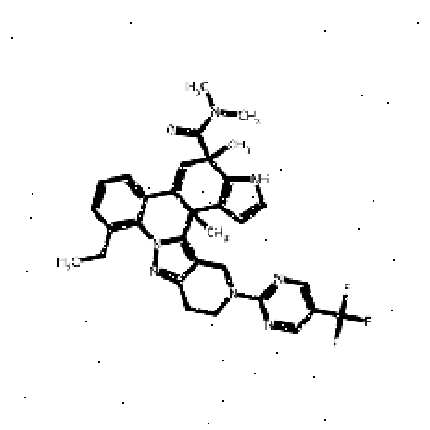 CCc1cccc2c1-n1nc3c(c1C1(C)C2=CC(C)(C(=O)N(C)C)c2[nH]ccc21)CN(c1ncc(C(F)(F)F)cn1)CC3